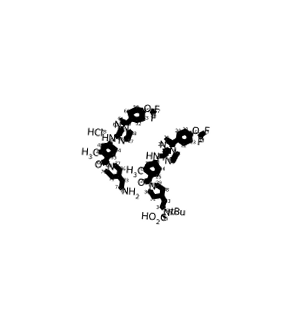 Cc1cc(Nc2nccn3c(-c4ccc(OC(F)F)cc4)cnc23)ccc1C(=O)N1CCC(CCN(C(=O)O)C(C)(C)C)CC1.Cc1cc(Nc2nccn3c(-c4ccc(OC(F)F)cc4)cnc23)ccc1C(=O)N1CCC(CCN)CC1.Cl